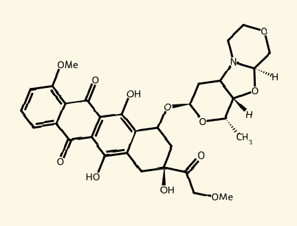 COCC(=O)[C@]1(O)Cc2c(O)c3c(c(O)c2C(O[C@H]2CC4[C@H](O[C@@H]5COCCN45)[C@H](C)O2)C1)C(=O)c1c(OC)cccc1C3=O